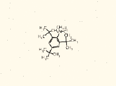 CN(C)c1c(C(C)(C)C)cc(C(C)(C)C)cc1C(C)(C)C